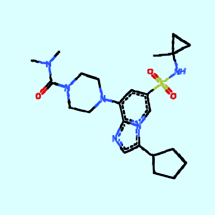 CN(C)C(=O)N1CCN(c2cc(S(=O)(=O)NC3(C)CC3)cn3c(C4CCCC4)cnc23)CC1